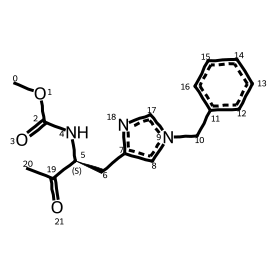 COC(=O)N[C@@H](Cc1cn(Cc2ccccc2)cn1)C(C)=O